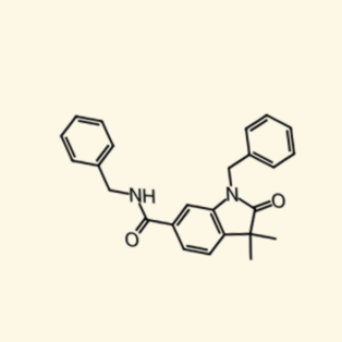 CC1(C)C(=O)N(Cc2ccccc2)c2cc(C(=O)NCc3ccccc3)ccc21